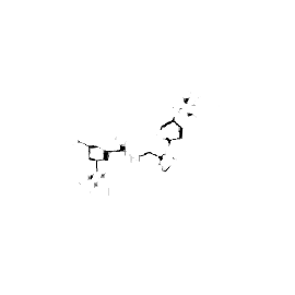 CS(=O)(=O)Nc1ccc(-n2ncnc2CNC(=O)c2cc(Cl)cc(S(C)(=O)=O)c2)nc1